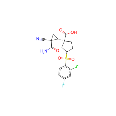 N#CC1(C(N)=O)CC1[C@]1(C(=O)O)CC[C@@H](S(=O)(=O)c2ccc(F)cc2Cl)C1